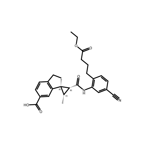 CCOC(=O)CCCc1ccc(C#N)cc1NC(=O)[C@@H]1[C@H](C)[C@]12CCc1ccc(C(=O)O)cc12